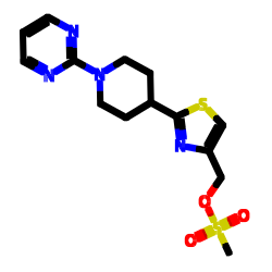 CS(=O)(=O)OCc1csc(C2CCN(c3ncccn3)CC2)n1